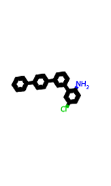 Nc1ccc(Cl)cc1-c1cccc(-c2ccc(-c3ccccc3)cc2)c1